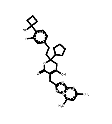 Cc1cc(C)n2nc(CC3=C(O)CC(CCc4ccc(C5(C#N)CCC5)c(F)c4)(C4CCCC4)OC3=O)nc2n1